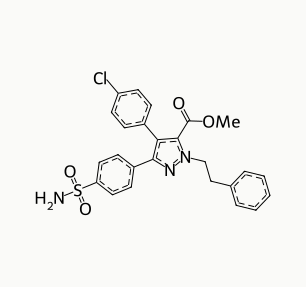 COC(=O)c1c(-c2ccc(Cl)cc2)c(-c2ccc(S(N)(=O)=O)cc2)nn1CCc1ccccc1